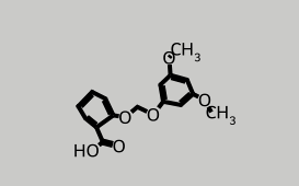 COc1cc(OC)cc(OCOc2ccccc2C(=O)O)c1